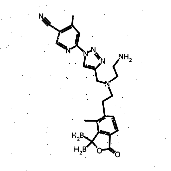 BC1(B)OC(=O)c2ccc(CCN(CCN)Cc3cn(-c4cc(C)c(C#N)cn4)nn3)c(C)c21